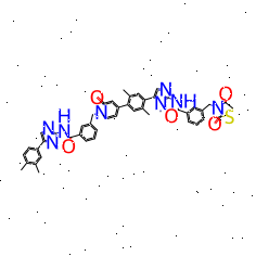 Cc1ccc(-c2cnc(NC(=O)c3cccc(Cn4ccc(-c5cc(C)c(-c6cnc(NC(=O)c7cccc(CN8C(=O)CSC8=O)c7)n6C)cc5C)cc4=O)c3)n2C)cc1C